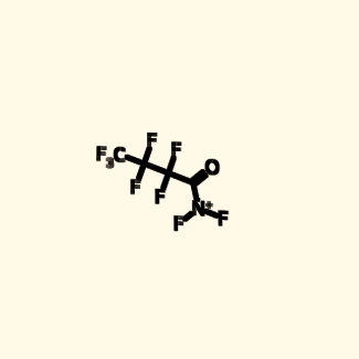 O=C([N+](F)F)C(F)(F)C(F)(F)C(F)(F)F